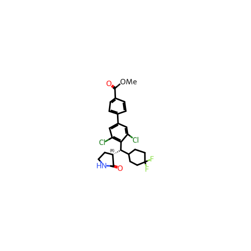 COC(=O)c1ccc(-c2cc(Cl)c(C(C3CCC(F)(F)CC3)[C@H]3CCNC3=O)c(Cl)c2)cc1